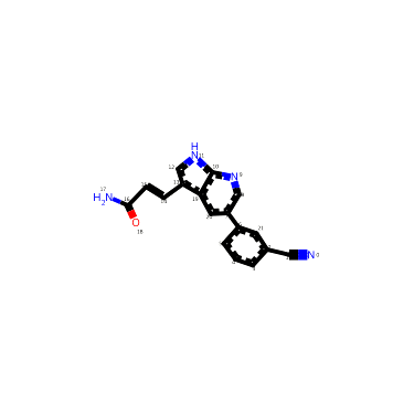 N#Cc1cccc(-c2cnc3[nH]cc(C=CC(N)=O)c3c2)c1